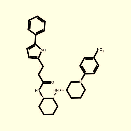 O=C(CCc1ccc(-c2ccccc2)[nH]1)N[C@@H]1CCCC[C@H]1N[C@H]1CCCN(c2ccc([N+](=O)[O-])cc2)C1